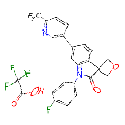 O=C(Nc1ccc(F)cc1)C1(c2ccc(-c3ccc(C(F)(F)F)nc3)cc2)COC1.O=C(O)C(F)(F)F